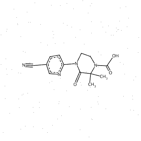 CC1(C)C(=O)N(c2ccc(C#N)cn2)CCN1C(=O)O